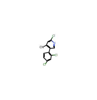 [C-]#[N+]c1cc(Cl)ncc1-c1ccc(Cl)cc1Cl